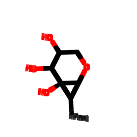 CCCCCC1C2OCC(O)C(O)[C@@]12O